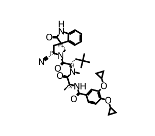 C[C@H](NC(=O)c1ccc(OC2CC2)c(OC2CC2)c1)C(=O)N(C)[C@@H](CC(C)(C)C)C(=O)N1C[C@]2(C[C@H]1C#N)C(=O)Nc1ccccc12